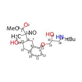 COC(=O)C(C)(N=O)C1Cc2c(cccc2OCC(O)CNC(C)(C)C)CC1O